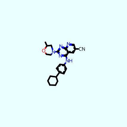 CC1CN(c2nc(Nc3ccc(C4CCCCC4)cc3)c3cc(C#N)cnc3n2)CCO1